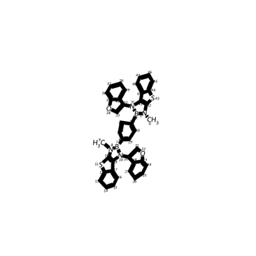 CN1B(c2ccc(B3N(C)c4sc5ccccc5c4N3c3coc4ccccc34)cc2)N(c2coc3ccccc23)c2c1sc1ccccc21